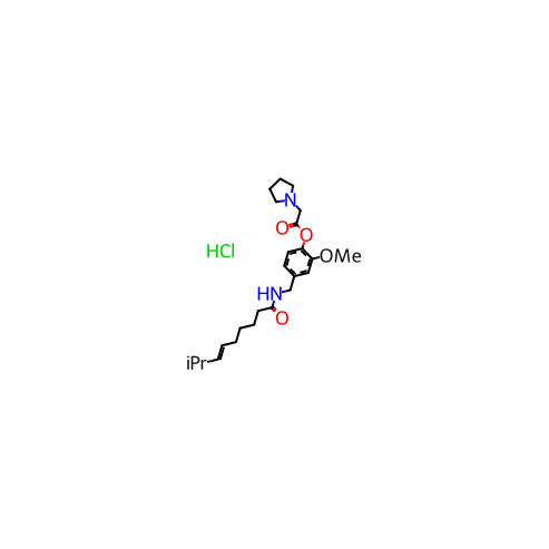 COc1cc(CNC(=O)CCCC/C=C/C(C)C)ccc1OC(=O)CN1CCCC1.Cl